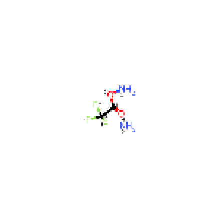 N.NOC(=O)C(F)(F)F